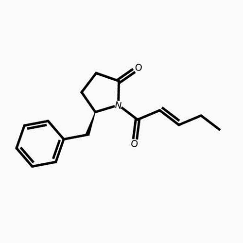 CC/C=C/C(=O)N1C(=O)CC[C@@H]1Cc1ccccc1